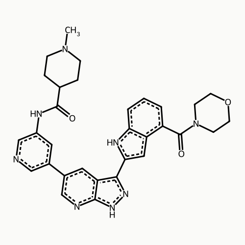 CN1CCC(C(=O)Nc2cncc(-c3cnc4[nH]nc(-c5cc6c(C(=O)N7CCOCC7)cccc6[nH]5)c4c3)c2)CC1